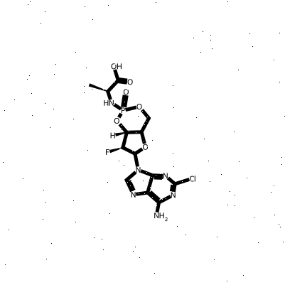 C[C@H](NP1(=O)OCC2OC(n3cnc4c(N)nc(Cl)nc43)[C@@H](F)[C@@H]2O1)C(=O)O